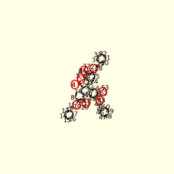 CCOC(=O)C(c1ccc(OCc2ccccc2)c(OC)c1)C(c1ccc(OCc2ccccc2)c(OC)c1)c1ccc(OCc2ccccc2)c(OC)c1